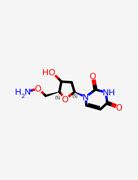 NOC[C@@H]1O[C@H](n2ccc(=O)[nH]c2=O)CC1O